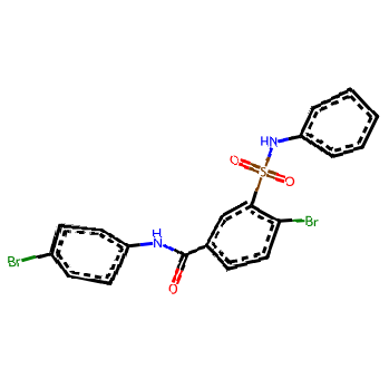 O=C(Nc1ccc(Br)cc1)c1ccc(Br)c(S(=O)(=O)Nc2ccccc2)c1